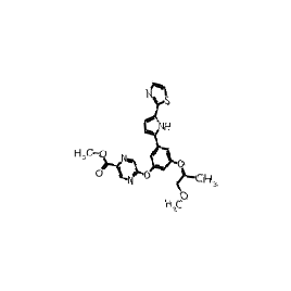 COCC(C)Oc1cc(Oc2cnc(C(=O)OC)cn2)cc(-c2ccc(-c3nccs3)[nH]2)c1